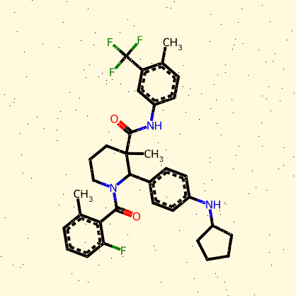 Cc1ccc(NC(=O)C2(C)CCCN(C(=O)c3c(C)cccc3F)C2c2ccc(NC3CCCC3)cc2)cc1C(F)(F)F